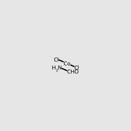 NC=O.[Cl][Co][Cl]